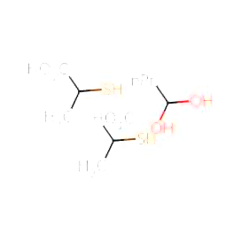 CC(S)C(=O)O.CC(S)C(=O)O.CCCC(O)O